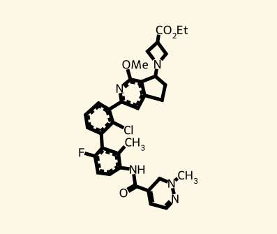 CCOC(=O)C1CN(C2CCc3cc(-c4cccc(-c5c(F)ccc(NC(=O)C6=CC=NN(C)C6)c5C)c4Cl)nc(OC)c32)C1